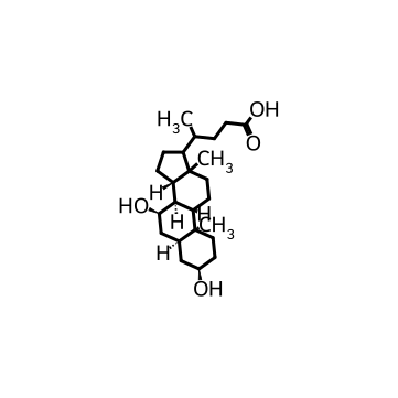 CC(CCC(=O)O)C1CC[C@H]2[C@@H]3[C@H](O)C[C@@H]4C[C@H](O)CC[C@]4(C)[C@H]3CCC12C